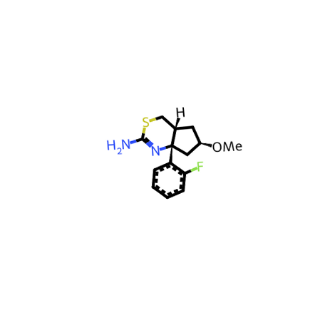 CO[C@@H]1C[C@H]2CSC(N)=N[C@@]2(c2ccccc2F)C1